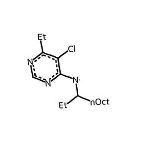 CCCCCCCCC(CC)[N]c1ncnc(CC)c1Cl